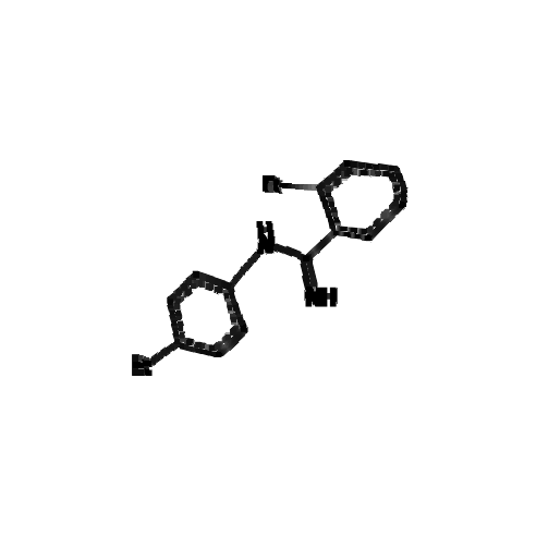 CCc1ccc(NC(=N)c2ccccc2CC)cc1